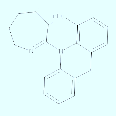 CCCCc1cccc2c1N(C1=NCCCCC1)c1ccccc1C2